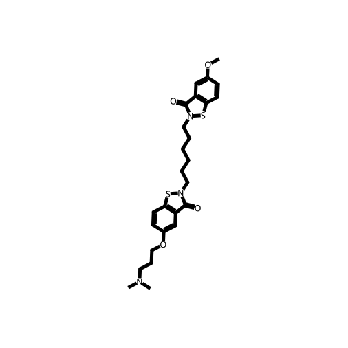 COc1ccc2sn(CCCCCCn3sc4ccc(OCCCN(C)C)cc4c3=O)c(=O)c2c1